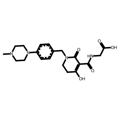 CN1CCN(c2ccc(CN3CCC(O)=C(C(=O)NCC(=O)O)C3=O)cc2)CC1